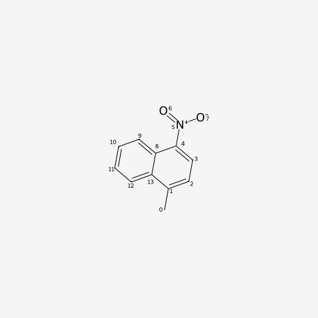 Cc1ccc([N+](=O)[O-])c2ccccc12